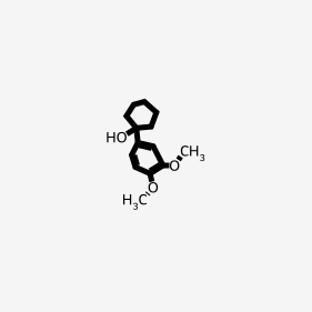 COc1ccc(C2(O)CCCCC2)cc1OC